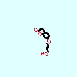 O=c1ccc2ccc(OC/C=C/CO)cc2o1